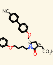 N#Cc1ccc(-c2ccc(OC[C@@H]3C[C@@H](CC(=O)O)C(=O)N3CCCCOc3ccccc3)cc2)cc1